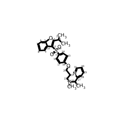 CC(C)c1oc2ccccc2c1S(=O)(=O)c1ccc(OCCCN(C)C(C)c2ccccn2)cc1